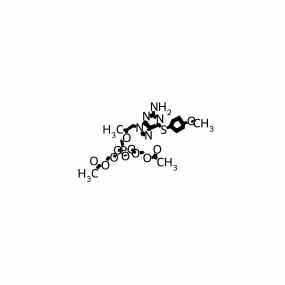 COc1ccc(Sc2nc(N)nc3c2ncn3CC(C)OCP(=O)(OOCOC(C)=O)OOCOC(C)=O)cc1